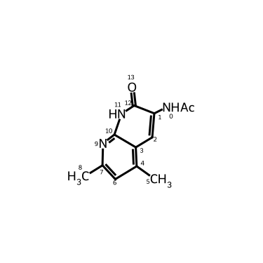 CC(=O)Nc1cc2c(C)cc(C)nc2[nH]c1=O